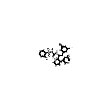 O=C(NC(Cc1cc(F)cc(F)c1)c1ncccc1-c1cncc(F)c1)NS(=O)(=O)c1ccccc1Cl